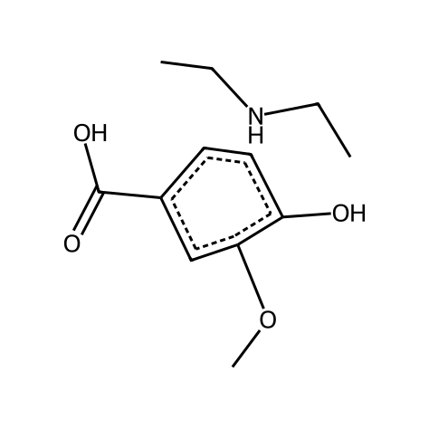 CCNCC.COc1cc(C(=O)O)ccc1O